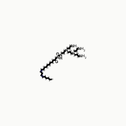 CCCCC/C=C\C/C=C\CCCCCCCCC(=O)CNC(=O)NCCCN(CCCN)CCCN(CCCN)CCCN